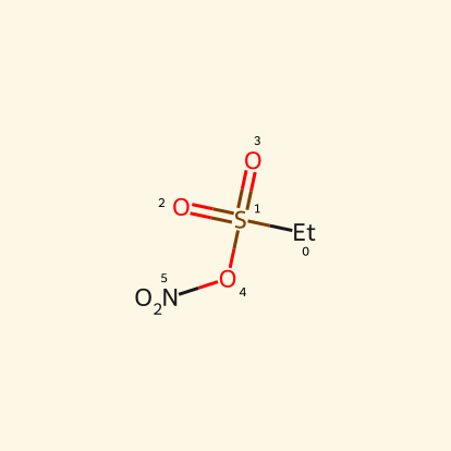 CCS(=O)(=O)O[N+](=O)[O-]